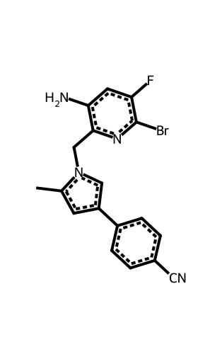 Cc1cc(-c2ccc(C#N)cc2)cn1Cc1nc(Br)c(F)cc1N